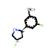 CSc1cc(F)cc([C@H]2C[C@H](F)CN2)c1